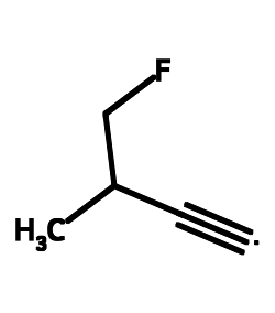 [C]#CC(C)CF